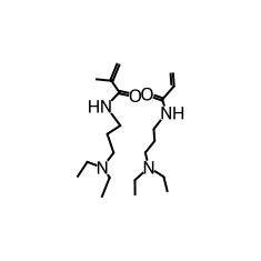 C=C(C)C(=O)NCCCN(CC)CC.C=CC(=O)NCCCN(CC)CC